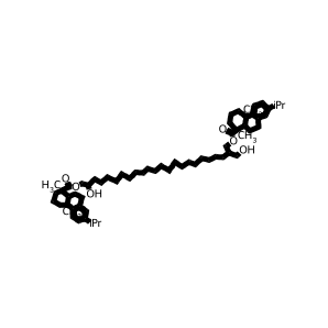 CC(C)c1ccc2c(c1)CCC1C(C)(C(=O)OCC(O)CCCCCCCCCCCCCCCCCCCCC(CO)COC(=O)C3(C)CCCC4(C)c5ccc(C(C)C)cc5CCC34)CCCC21C